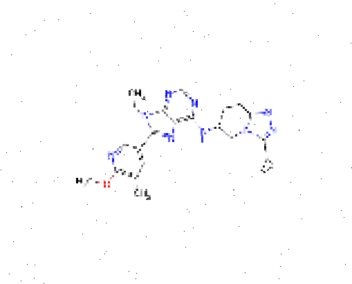 CCn1c(-c2cnc(OC)c(C)c2)nc2c(NC3CCc4nnc(C5CC5)n4C3)ncnc21